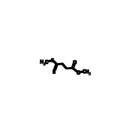 COC(=O)CCC(=S)SC